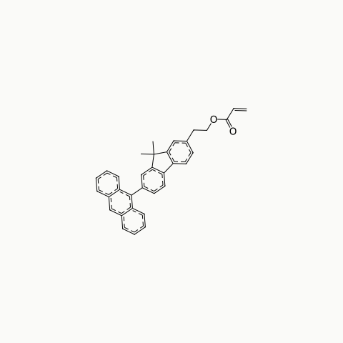 C=CC(=O)OCCc1ccc2c(c1)C(C)(C)c1cc(-c3c4ccccc4cc4ccccc34)ccc1-2